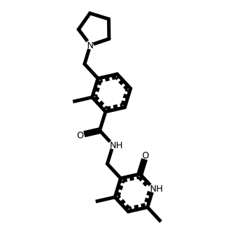 Cc1cc(C)c(CNC(=O)c2cccc(CN3CCCC3)c2C)c(=O)[nH]1